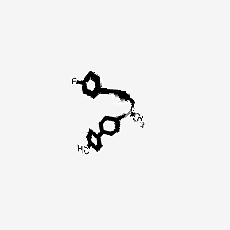 CN(CCCc1ccc(F)cc1)C1CCC(c2ccc(O)cc2)CC1